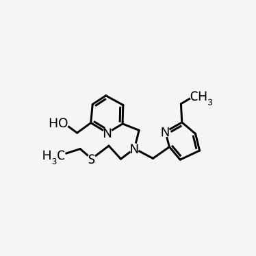 CCSCCN(Cc1cccc(CC)n1)Cc1cccc(CO)n1